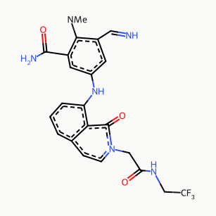 CNc1c(C=N)cc(Nc2cccc3ccn(CC(=O)NCC(F)(F)F)c(=O)c23)cc1C(N)=O